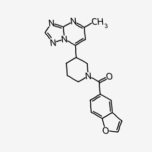 Cc1cc(C2CCCN(C(=O)c3ccc4occc4c3)C2)n2ncnc2n1